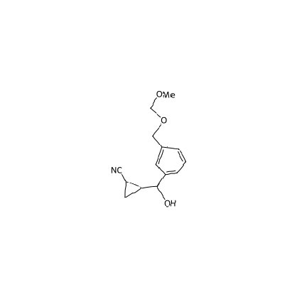 COCOCc1cccc(C(O)C2CC2C#N)c1